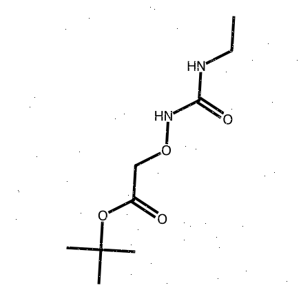 CCNC(=O)NOCC(=O)OC(C)(C)C